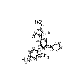 C[C@H]1[C@@H](CO)OC(=O)N1c1cc(-c2cnc(N)nc2C(F)(F)F)nc(N2CCOCC2)n1